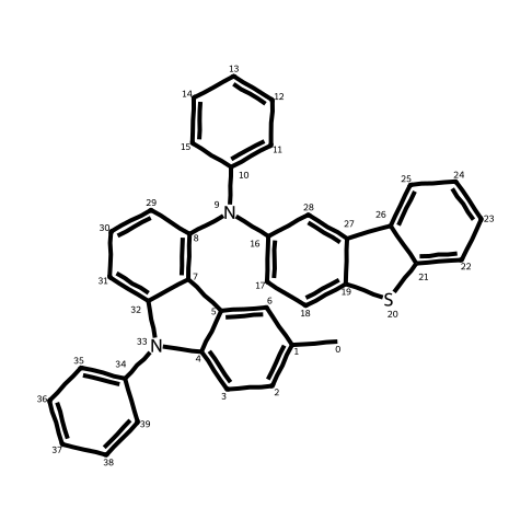 Cc1ccc2c(c1)c1c(N(c3ccccc3)c3ccc4sc5ccccc5c4c3)cccc1n2-c1ccccc1